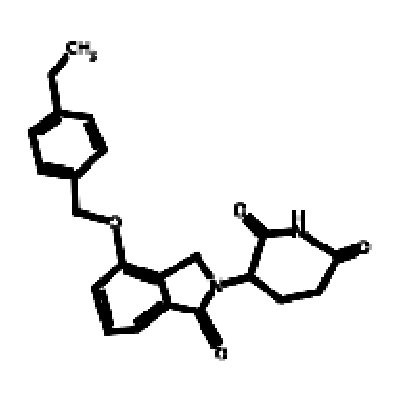 CCc1ccc(COc2cccc3c2CN(C2CCC(=O)NC2=O)C3=O)cc1